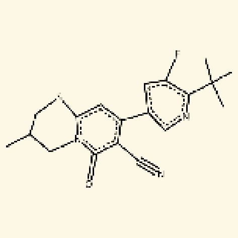 CC1CSc2cc(-c3cnc(C(C)(C)C)c(F)c3)c(C#N)c(=O)n2C1